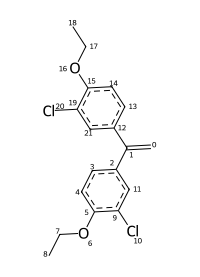 C=C(c1ccc(OCC)c(Cl)c1)c1ccc(OCC)c(Cl)c1